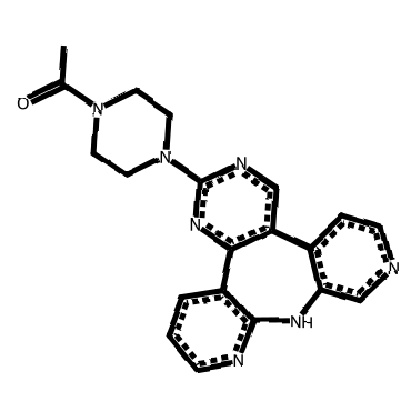 CC(=O)N1CCN(c2ncc3c(n2)-c2cccnc2Nc2cnccc2-3)CC1